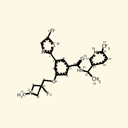 CCc1cnc(-c2cc(OCC3(F)CN(C)C3)cc(C(=O)NC(C)c3ccc(C(F)(F)F)nc3)c2)s1